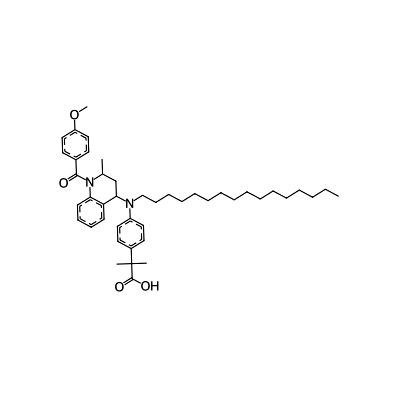 CCCCCCCCCCCCCCCCN(c1ccc(C(C)(C)C(=O)O)cc1)C1CC(C)N(C(=O)c2ccc(OC)cc2)c2ccccc21